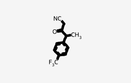 CC(C(=O)CC#N)c1ccc(C(F)(F)F)cc1